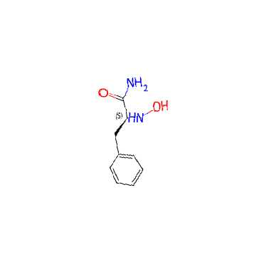 NC(=O)[C@H](Cc1ccccc1)NO